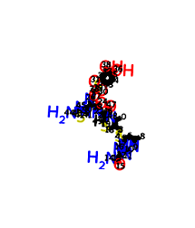 CC1=C(CSc2cc(C)nc3nc(C(N)=O)nn23)CS[C@@H]2[C@H](NC(=O)/C(=N\OCS(=O)(=O)c3ccc(O)c(O)c3)c3csc(N)n3)C(=O)N12